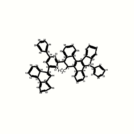 CC1c2c(c3c4ccccc4n(-c4ccccc4)c3c3ccccc23)-c2ccccc2C1c1nc(-c2ccccc2)cc(-c2cc3ccccc3c3ccccc23)n1